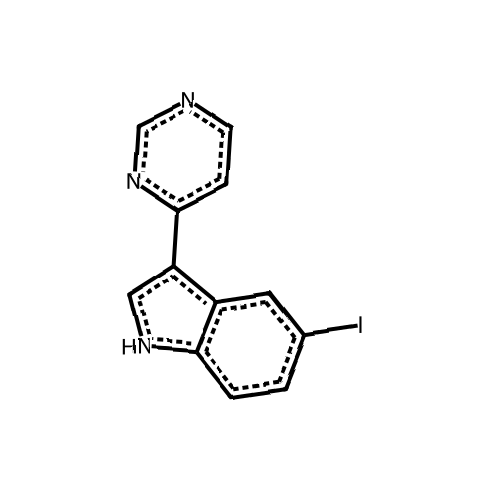 Ic1ccc2[nH]cc(-c3ccncn3)c2c1